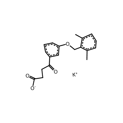 Cc1cccc(C)c1COc1cccc(C(=O)CCC(=O)[O-])c1.[K+]